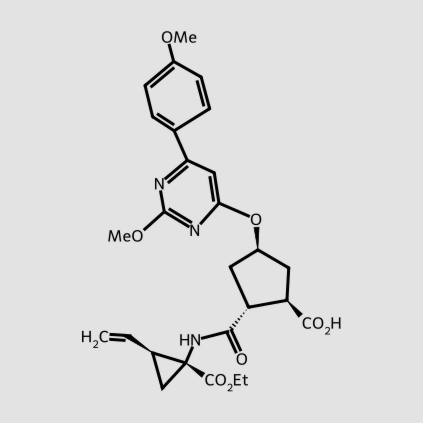 C=C[C@@H]1C[C@]1(NC(=O)[C@@H]1C[C@@H](Oc2cc(-c3ccc(OC)cc3)nc(OC)n2)C[C@H]1C(=O)O)C(=O)OCC